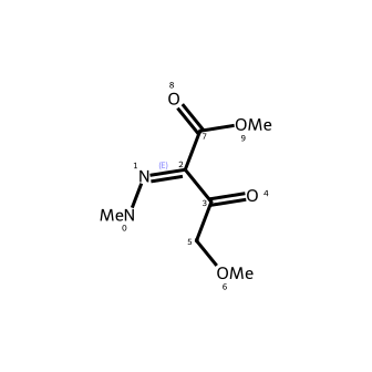 CN/N=C(\C(=O)COC)C(=O)OC